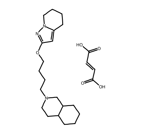 O=C(O)C=CC(=O)O.c1c(OCCCCN2CCC3CCCCC3C2)nn2c1CCCC2